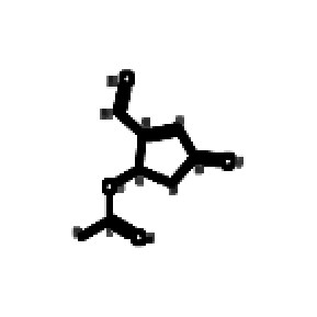 CC(=O)OC1CC(=O)C=C1C=O